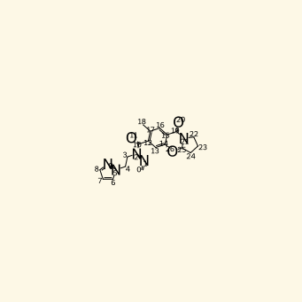 C=NN(CCn1cccn1)C(=O)c1cc2c(cc1C)C(=O)N1CCCC1O2